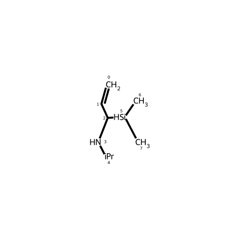 C=CC(NC(C)C)[SiH](C)C